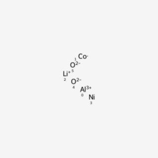 [Al+3].[Co].[Li+].[Ni].[O-2].[O-2]